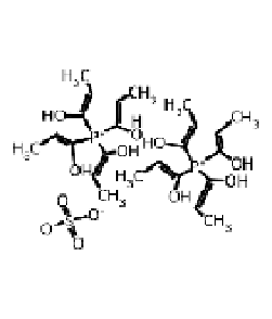 CC=C(O)[P+](C(O)=CC)(C(O)=CC)C(O)=CC.CC=C(O)[P+](C(O)=CC)(C(O)=CC)C(O)=CC.O=S(=O)([O-])[O-]